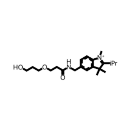 CC(C)C1=[N+](C)c2ccc(CNC(=O)CCOCCCO)cc2C1(C)C